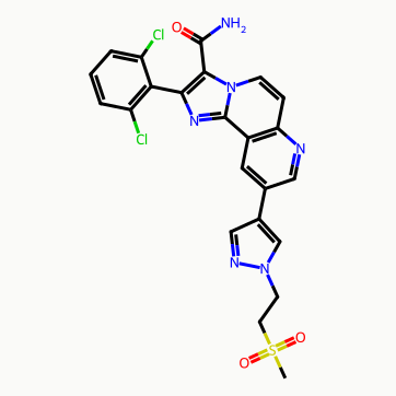 CS(=O)(=O)CCn1cc(-c2cnc3ccn4c(C(N)=O)c(-c5c(Cl)cccc5Cl)nc4c3c2)cn1